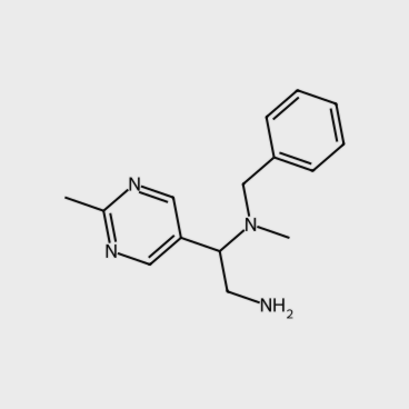 Cc1ncc(C(CN)N(C)Cc2ccccc2)cn1